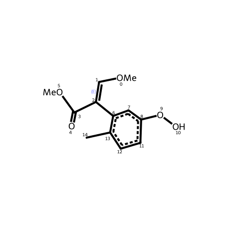 CO/C=C(/C(=O)OC)c1cc(OO)ccc1C